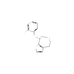 Brc1ccccc1OC1CNCCc2ccsc21